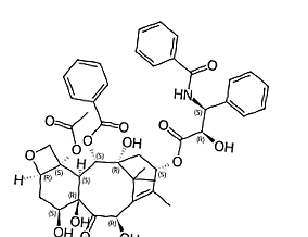 CC(=O)O[C@@]12CO[C@@H]1C[C@H](O)[C@@]1(O)C(=O)[C@H](O)C3=C(C)[C@@H](OC(=O)[C@H](O)[C@@H](NC(=O)c4ccccc4)c4ccccc4)C[C@](O)([C@@H](OC(=O)c4ccccc4)[C@H]21)C3(C)C